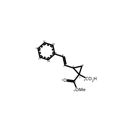 COC(=O)C1(C(=O)O)CC1C=Cc1ccccc1